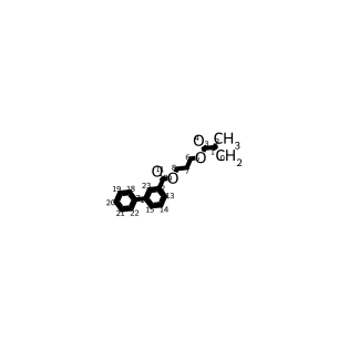 C=C(C)C(=O)OCCCOC(=O)c1cccc(-c2ccccc2)c1